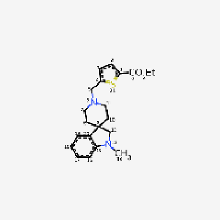 CCOC(=O)c1ccc(CN2CCC3(CC2)CN(C)c2ccccc23)s1